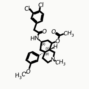 COc1cccc([C@@]23CCN(C)C[C@H]2C(OC(C)=O)C[C@H](NC(=O)Cc2ccc(Cl)c(Cl)c2)C3)c1